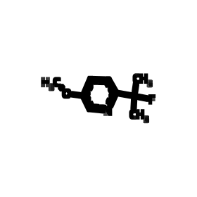 COc1ccc(C(C)(C)F)nc1